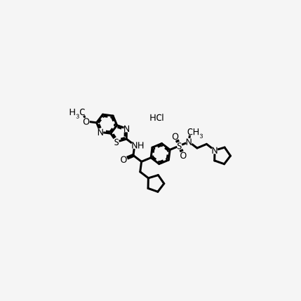 COc1ccc2nc(NC(=O)C(CC3CCCC3)c3ccc(S(=O)(=O)N(C)CCN4CCCC4)cc3)sc2n1.Cl